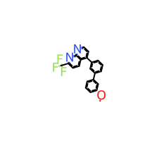 COc1cccc(-c2cccc(-c3ccnc4nc(C(F)(F)F)ccc34)c2)c1